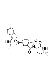 CCN[C@H]1c2ccccc2C[C@H]1N(C)c1ccc2c(c1)C(=O)N(C1CCC(=O)NC1=O)C2=O